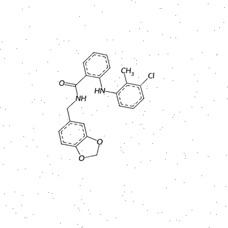 Cc1c(Cl)cccc1Nc1ccccc1C(=O)NCc1ccc2c(c1)OCO2